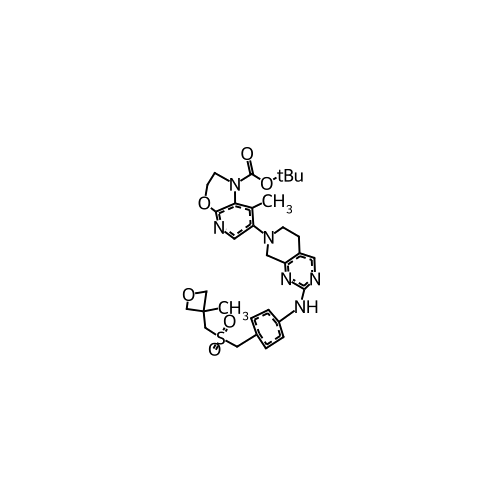 Cc1c(N2CCc3cnc(Nc4ccc(CS(=O)(=O)CC5(C)COC5)cc4)nc3C2)cnc2c1N(C(=O)OC(C)(C)C)CCO2